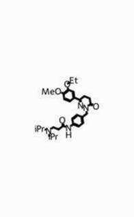 CCOc1cc(C2=NN(Cc3ccc(NC(=O)CCN(C(C)C)C(C)C)cc3)C(=O)CC2)ccc1OC